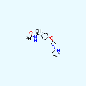 [3H]C(=O)N[C@@H](C)c1ccc(OC2CN(c3ccccn3)C2)cc1